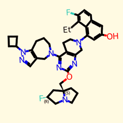 CCc1c(F)ccc2cc(O)cc(N3CCc4c(nc(OC[C@@]56CCCN5C[C@H](F)C6)nc4N4CCCc5c(cnn5C5CCC5)C4)C3)c12